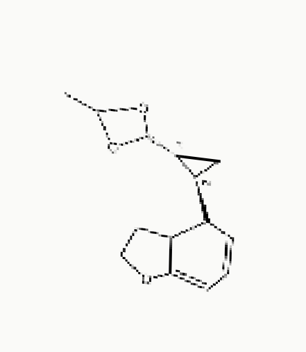 CC1OC([C@@H]2C[C@H]2C2C=CC=C3OCCC32)O1